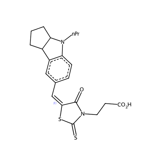 CCCN1c2ccc(/C=C3/SC(=S)N(CCC(=O)O)C3=O)cc2C2CCCC21